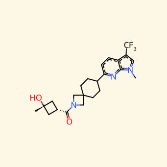 Cn1cc(C(F)(F)F)c2ccc(C3CCC4(CC3)CN(C(=O)[C@H]3C[C@@](C)(O)C3)C4)nc21